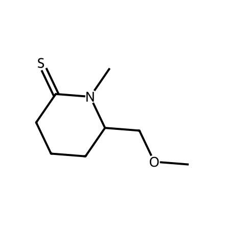 COCC1CCCC(=S)N1C